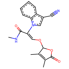 CNC(=O)/C(=C/OC1OC(=O)C(C)=C1C)n1cc(C#N)c2ccccc21